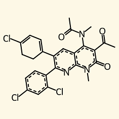 CC(=O)c1c(N(C)C(C)=O)c2cc(C3=CC=C(Cl)CC3)c(-c3ccc(Cl)cc3Cl)nc2n(C)c1=O